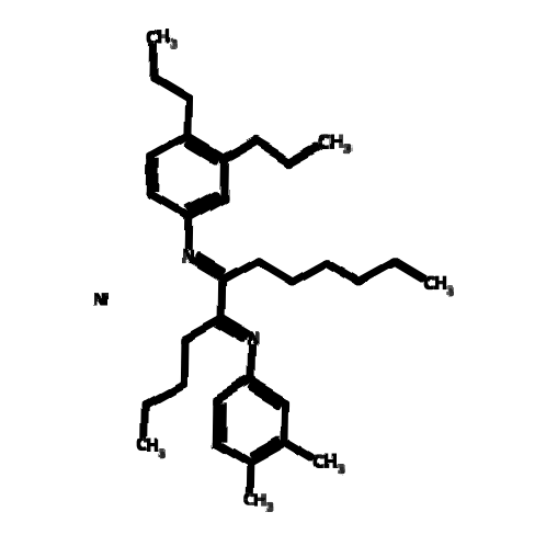 CCCCCCC(=Nc1ccc(CCC)c(CCC)c1)C(CCCC)=Nc1ccc(C)c(C)c1.[Ni]